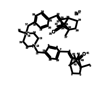 CC12CCC(C(=Cc3ccc(CN4CC[N+](C)(Cc5ccc(C=C6C(=O)C7(C)CCC6C7(C)C)cc5)CC4)cc3)C1=O)C2(C)C.[Br-]